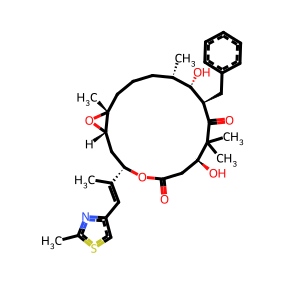 CC(=Cc1csc(C)n1)[C@@H]1C[C@@H]2O[C@]2(C)CCC[C@H](C)[C@H](O)[C@@H](Cc2ccccc2)C(=O)C(C)(C)[C@@H](O)CC(=O)O1